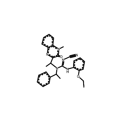 CCOc1ccccc1N/C(=N\C#N)N(C(C)c1ccccc1)C(C)c1nc2ccccc2n(C)c1=O